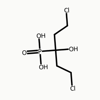 O=P(O)(O)C(O)(CCCl)CCCl